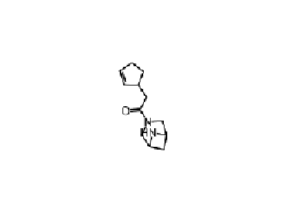 O=C(CC1C=CCC1)N1CC2CC(C1)N2